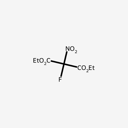 CCOC(=O)C(F)(C(=O)OCC)[N+](=O)[O-]